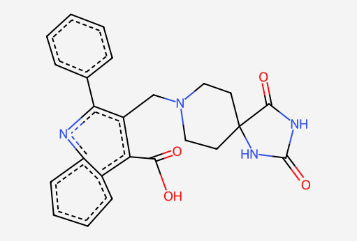 O=C1NC(=O)C2(CCN(Cc3c(-c4ccccc4)nc4ccccc4c3C(=O)O)CC2)N1